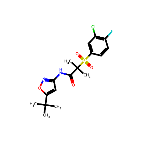 CC(C)(C)c1cc(NC(=O)C(C)(C)S(=O)(=O)c2ccc(F)c(Cl)c2)no1